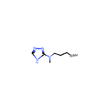 CNCCCN(C)c1nnc[nH]1